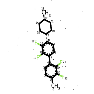 Cc1ccc(-c2ccc([C@H]3CC[C@H](C)CC3)c(F)c2F)c(F)c1F